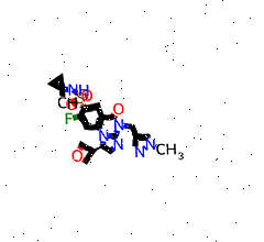 Cn1cc(CN2C(=O)c3cc(S(=O)(=O)NC4(C)CC4)c(F)cc3N3C2=NC[C@H]3C2COC2)cn1